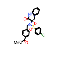 COC(=O)c1ccc(CN([C@H](Cc2ccccc2)C(N)=O)S(=O)(=O)c2ccc(Cl)cc2)cc1